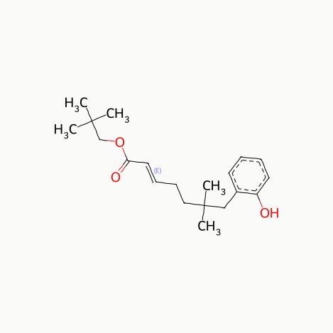 CC(C)(C)COC(=O)/C=C/CCC(C)(C)Cc1ccccc1O